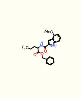 COc1cccc2[nH]c(C(=O)NC(CCC(F)(F)F)C(=O)OCc3ccccc3)cc12